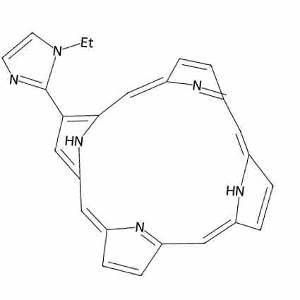 CCn1ccnc1-c1cc2cc3nc(cc4ccc(cc5nc(cc1[nH]2)C=C5)[nH]4)C=C3